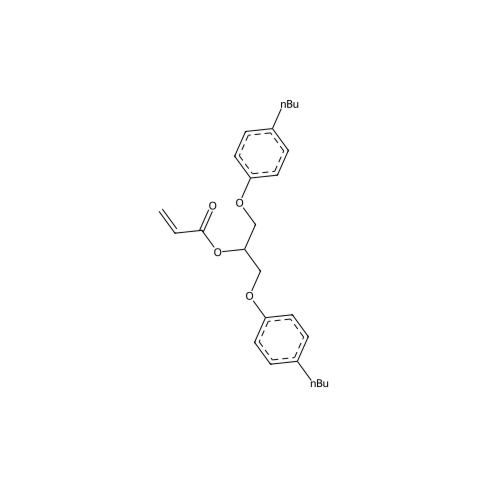 C=CC(=O)OC(COc1ccc(CCCC)cc1)COc1ccc(CCCC)cc1